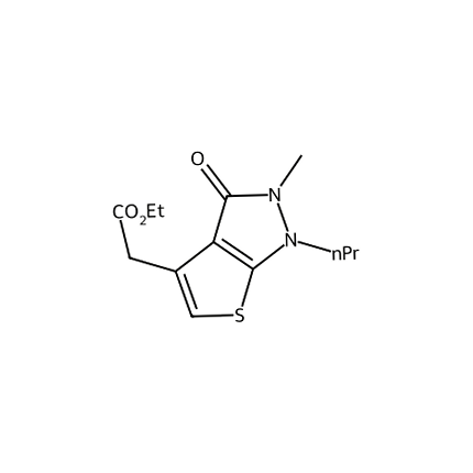 CCCn1c2scc(CC(=O)OCC)c2c(=O)n1C